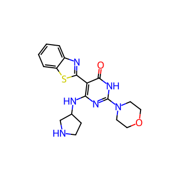 O=c1[nH]c(N2CCOCC2)nc(NC2CCNC2)c1-c1nc2ccccc2s1